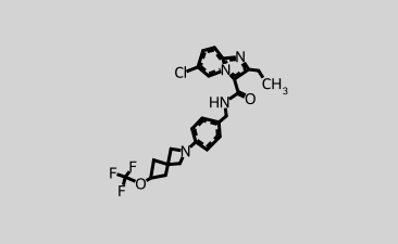 CCc1nc2ccc(Cl)cn2c1C(=O)NCc1ccc(N2CC3(CC(OC(F)(F)F)C3)C2)cc1